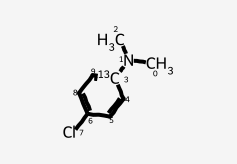 CN(C)[13c]1ccc(Cl)cc1